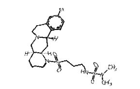 CCc1ccc2c(c1)CCN1C[C@@H]3CCCN(S(=O)(=O)CCCNS(=O)(=O)N(C)C)[C@@H]3C[C@@H]21